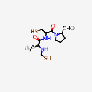 CC(NCS)C(=O)NC(CS)C(=O)N1CCCC1C=O